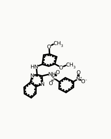 COc1cc(Nc2nc3ccccc3nc2NS(=O)(=O)c2cccc([N+](=O)[O-])c2)cc(OC)c1